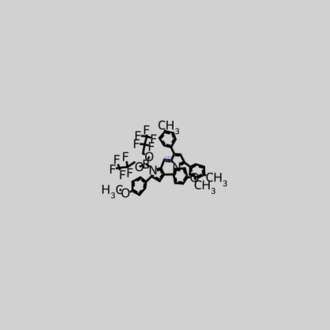 COc1ccc(-c2cc(-c3ccc(OC)cc3)n(B(OCC(F)(F)C(F)(F)F)OCC(F)(F)C(F)(F)F)c2/C=C2\N=C(c3ccc(C)cc3)C=C2c2ccc(C)cc2)cc1